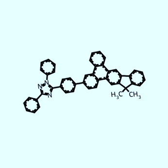 CC1(C)c2ccccc2-c2cc3c4ccccc4c4cc(-c5ccc(-c6nc(-c7ccccc7)nn6-c6ccccc6)cc5)ccc4c3cc21